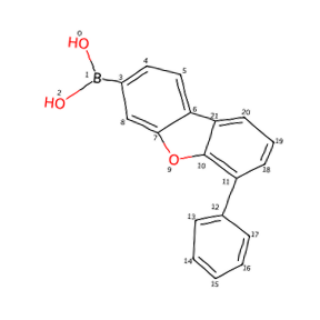 OB(O)c1ccc2c(c1)oc1c(-c3ccccc3)cccc12